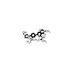 CC(C)Nc1nc(-c2ccc(N3CC[C@H](CO)C3)c(S(C)(=O)=O)c2)cc2ncn(C)c(=O)c12